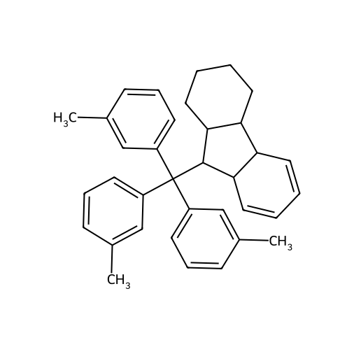 Cc1cccc(C(c2cccc(C)c2)(c2cccc(C)c2)C2C3C=CC=CC3C3CCCCC32)c1